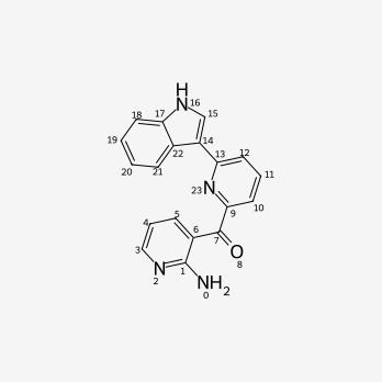 Nc1ncccc1C(=O)c1cccc(-c2c[nH]c3ccccc23)n1